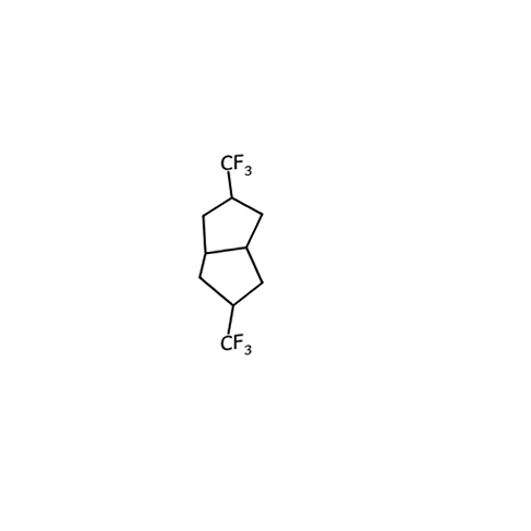 FC(F)(F)C1CC2CC(C(F)(F)F)CC2C1